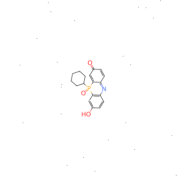 O=C1C=CC2=Nc3ccc(O)cc3P(=O)(C3CCCCC3)C2=C1